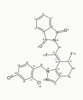 O=C1c2ccccc2C(=O)N1C/C(F)=C1/c2c(cnn2Cc2ccc(Cl)cc2Cl)CCC1F